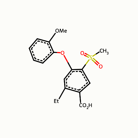 CCc1cc(Oc2ccccc2OC)c(S(C)(=O)=O)cc1C(=O)O